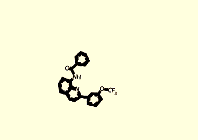 O=C(Nc1cccc2ccc(-c3cccc(OC(F)(F)F)c3)nc12)c1ccccc1